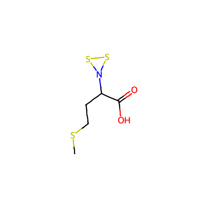 CSCCC(C(=O)O)n1ss1